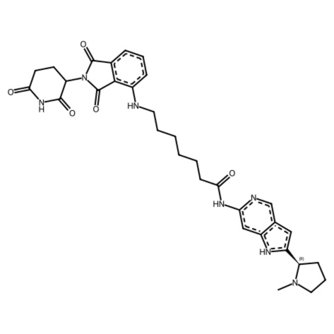 CN1CCC[C@@H]1c1cc2cnc(NC(=O)CCCCCCNc3cccc4c3C(=O)N(C3CCC(=O)NC3=O)C4=O)cc2[nH]1